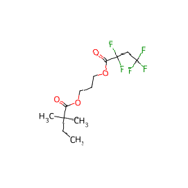 CCC(C)(C)C(=O)OCCCOC(=O)C(F)(F)CC(F)(F)F